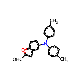 Cc1ccc(N(c2ccc(C)cc2)c2ccc3oc(C=O)cc3c2)cc1